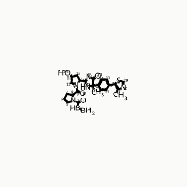 BBC(=O)N1CCCC1C(=O)N1CC(O)CC1C1=NC(=O)C(C)(c2ccc(-c3scnc3C)cc2)N1